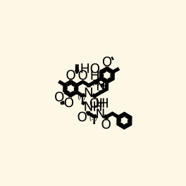 COc1c(C)cc2c(c1O)[C@H]1C3Cc4c(OC(C)=O)c(C)c5c(c4[C@H](CNC(=O)[C@H](C)NC(=O)Cc4ccccc4)N3C(O)C(C2)N1C)OCO5